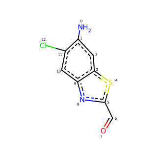 Nc1cc2sc(C=O)nc2cc1Cl